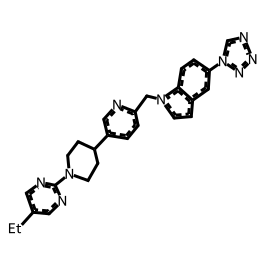 CCc1cnc(N2CCC(c3ccc(Cn4ccc5cc(-n6cnnn6)ccc54)nc3)CC2)nc1